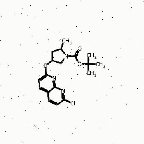 CC1CC(Oc2ccc3ccc(Cl)nc3n2)CN1C(=O)OC(C)(C)C